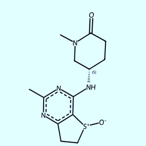 Cc1nc2c(c(N[C@H]3CCC(=O)N(C)C3)n1)[S+]([O-])CC2